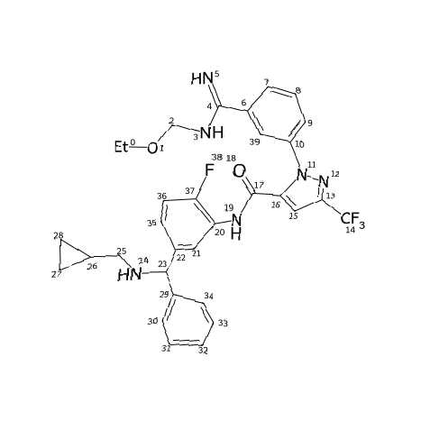 CCOCNC(=N)c1cccc(-n2nc(C(F)(F)F)cc2C(=O)Nc2cc(C(NCC3CC3)c3ccccc3)ccc2F)c1